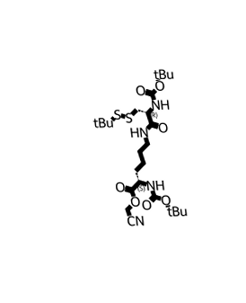 CC(C)(C)OC(=O)N[C@@H](CSSC(C)(C)C)C(=O)NCCCC[C@H](NC(=O)OC(C)(C)C)C(=O)OCC#N